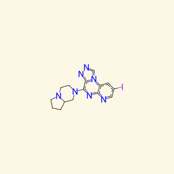 Ic1cnc2nc(N3CCN4CCCC4C3)c3nncn3c2c1